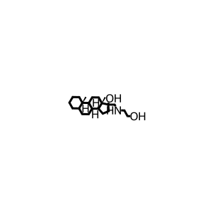 C[C@]12CCCCC1CC[C@@H]1[C@@H]2CC[C@@]2(C)[C@H]1CCC2(O)CNCCO